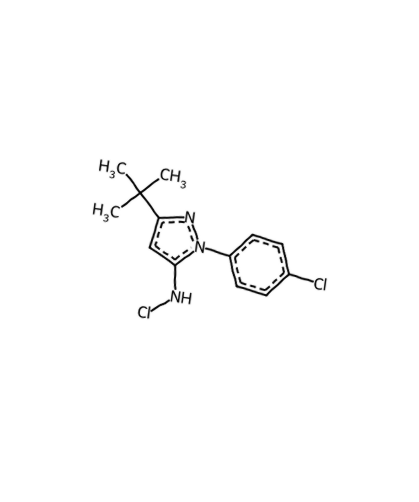 CC(C)(C)c1cc(NCl)n(-c2ccc(Cl)cc2)n1